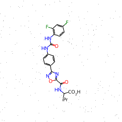 CC(C)C(NC(=O)c1nc(-c2ccc(NC(=O)Nc3ccc(F)cc3F)cc2)no1)C(=O)O